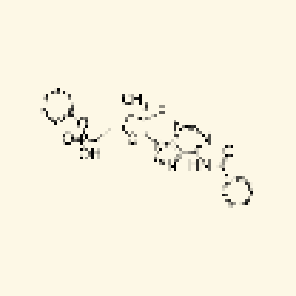 CC1C(CCP(=O)(O)Oc2ccccc2)OC(n2cnc3c(NC(=O)c4ccccc4)ncnc32)C1F